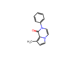 Cc1ccn2ccn(-c3ccccc3)c(=O)c12